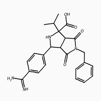 CC(C)C1(C(=O)O)NC(c2ccc(C(=N)N)cc2)C2C(=O)N(Cc3ccccc3)C(=O)C21